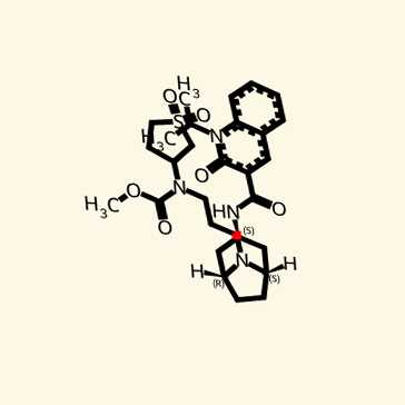 COC(=O)N(CCCN1[C@@H]2CC[C@H]1C[C@H](NC(=O)c1cc3ccccc3n(C(C)C)c1=O)C2)C1CCS(=O)(=O)C1